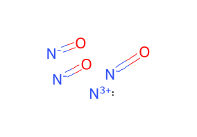 [N+3].[N-]=O.[N-]=O.[N-]=O